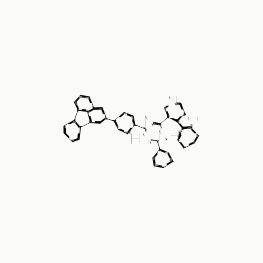 c1ccc(C2NC(c3cncc4oc5ccccc5c34)=NC(c3ccc(-c4cc5c6c(cccc6c4)-c4ccccc4-5)cc3)N2)cc1